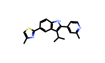 Cc1cc(-c2[nH]c3ccc(-c4nc(C)cs4)cc3c2C(C)C)ccn1